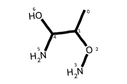 CC(ON)C(N)O